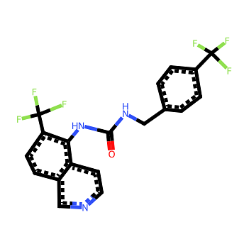 O=C(NCc1ccc(C(F)(F)F)cc1)Nc1c(C(F)(F)F)ccc2cnccc12